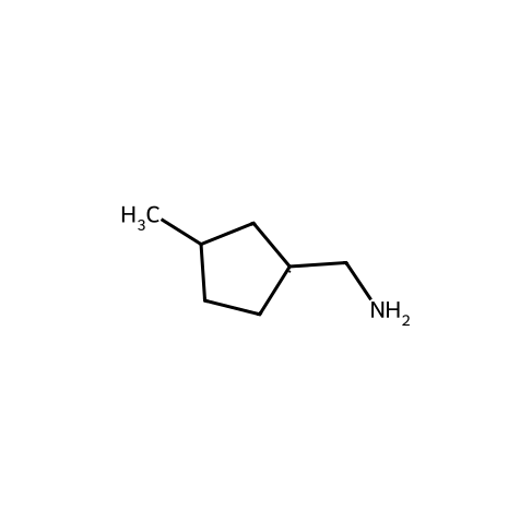 CC1CC[C](CN)C1